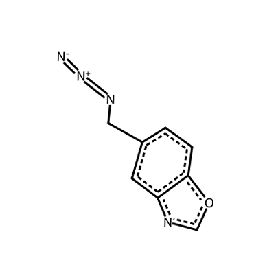 [N-]=[N+]=NCc1ccc2ocnc2c1